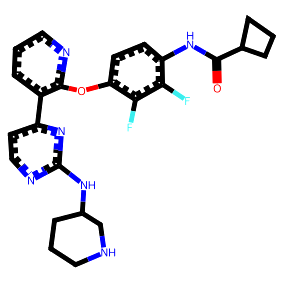 O=C(Nc1ccc(Oc2ncccc2-c2ccnc(NC3CCCNC3)n2)c(F)c1F)C1CCC1